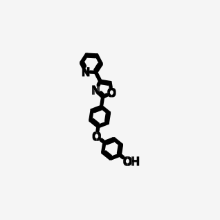 Oc1ccc(Oc2ccc(-c3nc(-c4ccccn4)co3)cc2)cc1